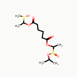 CC(C)OS(=O)C(C)OC(=O)CCCCC(=O)OC(C)[S+](C)[O-]